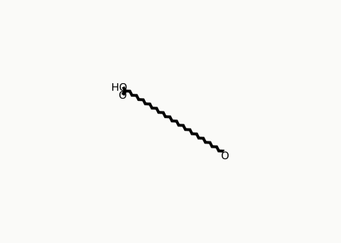 O=CCCCCCCCCCCCCCCCCCCCCCCCCCCCCC(=O)O